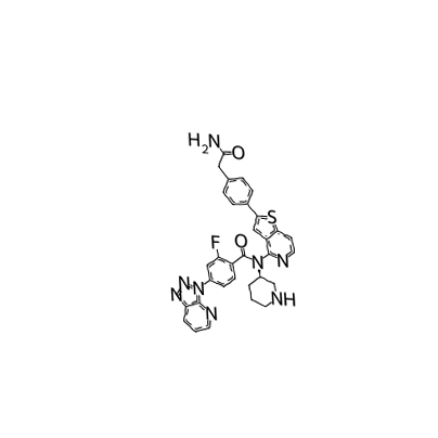 NC(=O)Cc1ccc(-c2cc3c(N(C(=O)c4ccc(-n5nnc6cccnc65)cc4F)[C@@H]4CCCNC4)nccc3s2)cc1